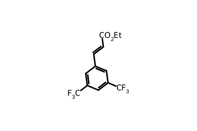 CCOC(=O)C=Cc1cc(C(F)(F)F)cc(C(F)(F)F)c1